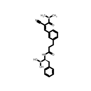 CN(C)C(=O)C(C#N)=Cc1cccc(CCC(=O)N[C@@H](Cc2ccccc2)B(O)O)c1